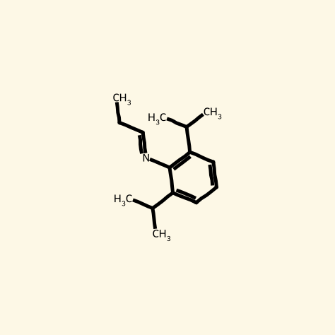 CCC=Nc1c(C(C)C)cccc1C(C)C